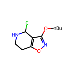 CCCCOc1noc2c1C(Cl)NCC2